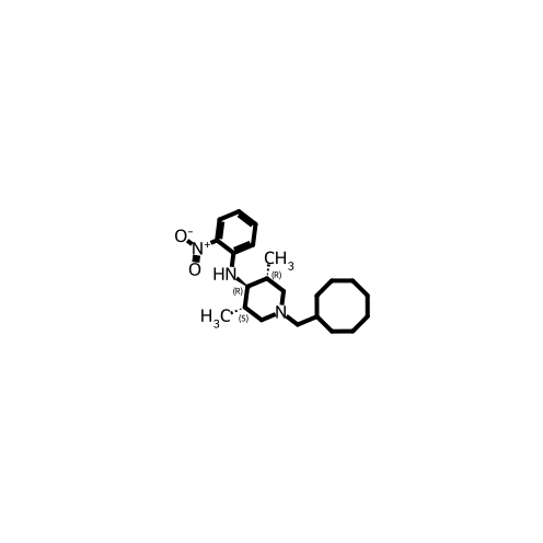 C[C@@H]1CN(CC2CCCCCCC2)C[C@H](C)[C@H]1Nc1ccccc1[N+](=O)[O-]